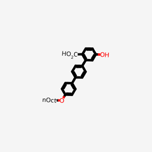 CCCCCCCCOc1ccc(-c2ccc(-c3cc(O)ccc3C(=O)O)cc2)cc1